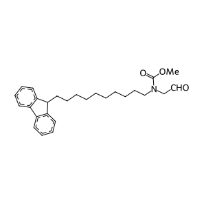 COC(=O)N(CC=O)CCCCCCCCCCC1c2ccccc2-c2ccccc21